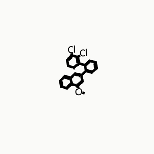 COc1cc(-c2ccccc2C2=C(Cl)C(Cl)=CC[CH]2)cc2ccccc12